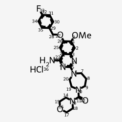 COc1cc2nc(N3CCCN(C(=O)N4CCOCC4)CC3)nc(N)c2cc1OCc1ccc(F)cc1.Cl